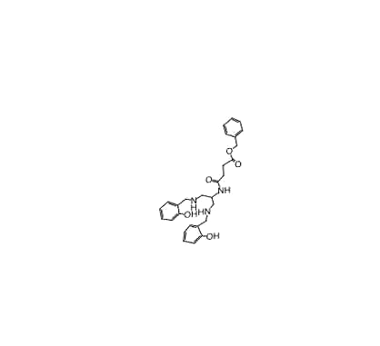 O=C(CCC(=O)OCc1ccccc1)NC(CNCc1ccccc1O)CNCc1ccccc1O